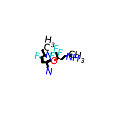 CCc1nc(O[C@H](CCNC)C(F)(F)F)c(C#N)cc1F